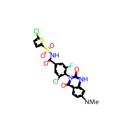 CNc1ccc2c(=O)n(-c3c(F)cc(C(=O)NS(=O)(=O)c4ccc(Cl)s4)cc3Cl)c(=O)[nH]c2c1